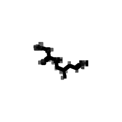 C[C@H](CC=N)CNC(=O)OC(C)(C)C